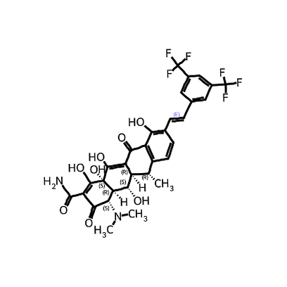 C[C@H]1c2ccc(/C=C/c3cc(C(F)(F)F)cc(C(F)(F)F)c3)c(O)c2C(=O)C2=C(O)[C@]3(O)C(O)=C(C(N)=O)C(=O)[C@@H](N(C)C)[C@@H]3[C@@H](O)[C@@H]21